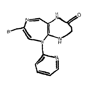 O=C1CNC2=C(C=NC(Br)=CN2c2ccccn2)N1